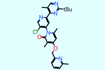 Cc1cccc(COc2cc(C)n(-c3cc(-c4nc(C(C)(C)C)ncc4C)ncc3Cl)c(=O)c2C)n1